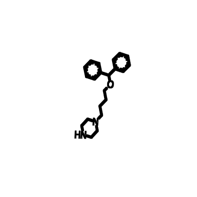 c1ccc(C(OCCCCN2CCNCC2)c2ccccc2)cc1